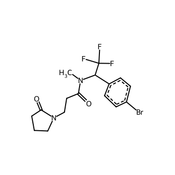 CN(C(=O)CCN1CCCC1=O)C(c1ccc(Br)cc1)C(F)(F)F